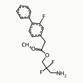 C.NCC(F)(F)COC(=O)Cc1ccc(-c2ccccc2)c(F)c1